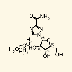 NC(=O)c1ncn([C@@H]2O[C@H](CO)[C@@H](O)[C@H]2O)n1.O.O.O.O